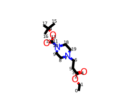 CCOC(=O)CCN1CCN(C(=O)OC(C)(C)C)CC1